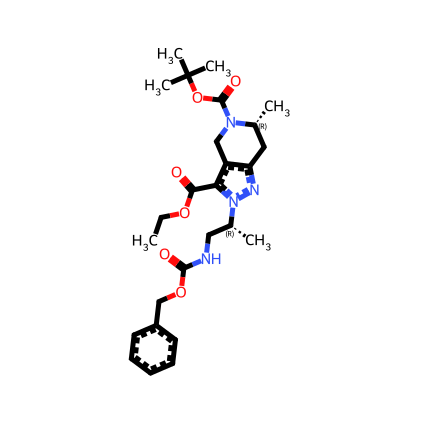 CCOC(=O)c1c2c(nn1[C@H](C)CNC(=O)OCc1ccccc1)C[C@@H](C)N(C(=O)OC(C)(C)C)C2